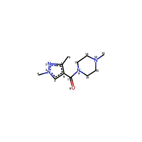 Cc1nn(C)cc1C(=O)N1CCN(C)CC1